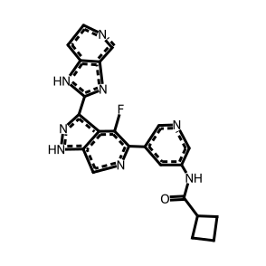 O=C(Nc1cncc(-c2ncc3[nH]nc(-c4nc5cnccc5[nH]4)c3c2F)c1)C1CCC1